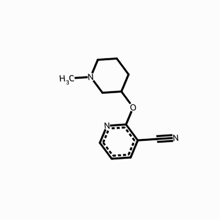 CN1CCCC(Oc2ncccc2C#N)C1